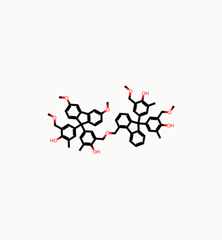 COCc1cc(C2(c3cc(C)c(O)c(COCc4cccc5c4-c4ccccc4C5(c4cc(C)c(O)c(COC)c4)c4cc(C)c(O)c(COC)c4)c3)c3ccc(OC)cc3-c3cc(OC)ccc32)cc(C)c1O